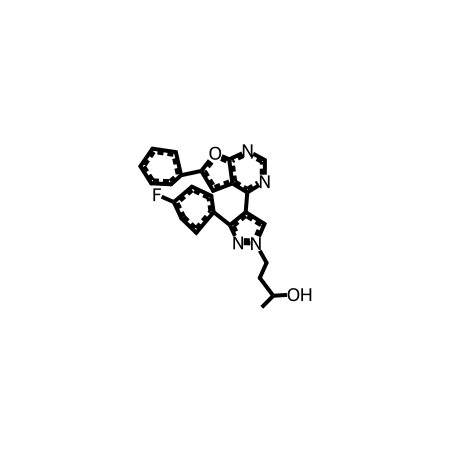 CC(O)CCn1cc(-c2ncnc3oc(-c4ccccc4)cc23)c(-c2ccc(F)cc2)n1